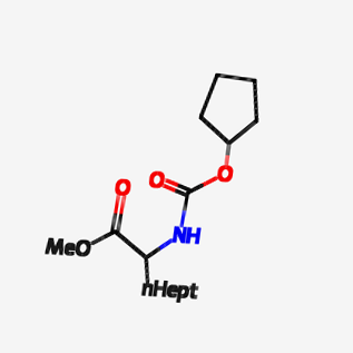 CCCCCCCC(NC(=O)OC1CCCC1)C(=O)OC